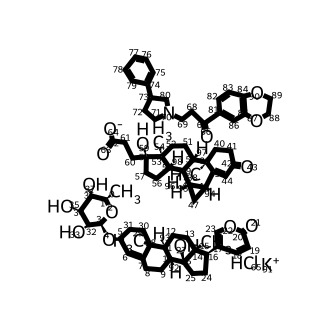 C[C@@H]1O[C@@H](O[C@@H]2C=C3CC[C@@H]4[C@H](CC[C@]5(C)[C@@H](c6ccc(=O)oc6)CC[C@]45O)[C@@]3(C)CC2)[C@H](O)[C@H](O)[C@H]1O.C[C@]12CCC(=O)C=C1[C@@H]1C[C@@H]1[C@@H]1[C@@H]2CC[C@@]2(C)[C@H]1CC[C@@]2(O)CCC(=O)[O-].Cl.O=C(CCN1CCC(c2ccccc2)C1)c1ccc2c(c1)OCCO2.[K+]